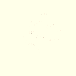 Cn1ccnc1-c1ccccc1B(O)O